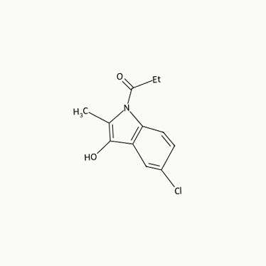 CCC(=O)n1c(C)c(O)c2cc(Cl)ccc21